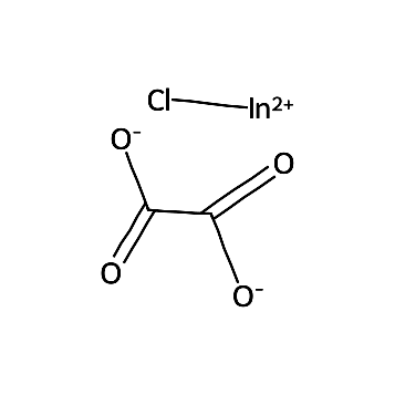 O=C([O-])C(=O)[O-].[Cl][In+2]